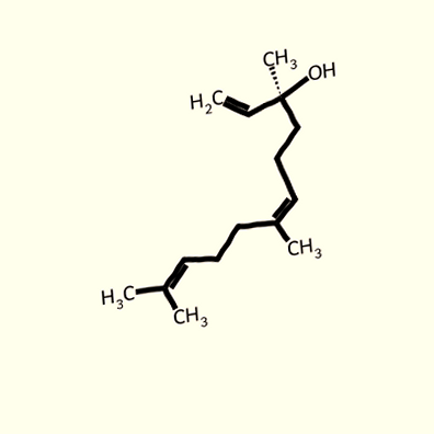 C=C[C@@](C)(O)CC/C=C(/C)CCC=C(C)C